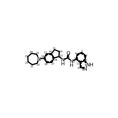 O=C(Nc1cccc2[nH]ncc12)NC1CCc2cc(N3CCCCCC3)ccc21